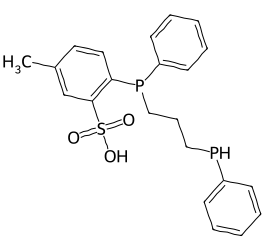 Cc1ccc(P(CCCPc2ccccc2)c2ccccc2)c(S(=O)(=O)O)c1